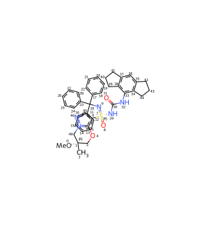 CO[C@@]1(C)COc2c([S@](=O)(=NC(c3ccccc3)(c3ccccc3)c3ccccc3)NC(=O)Nc3c4c(cc5c3CCC5)CCC4)cnn2C1